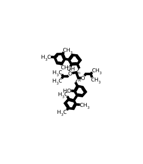 Cc1cc(C)c(-c2cccc(C[C@@H](OCC(C)C)[C@@H](Cc3cccc(-c4c(C)cc(C)cc4C)c3O)OCC(C)C)c2O)c(C)c1